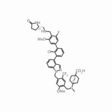 COc1cc(Cn2ncc3c(-c4cccc(-c5cc(F)c(CNC[C@@H]6CCC(=O)N6)c(OC)c5)c4Cl)cccc32)c(C(F)(F)F)cc1CN(C)C12CCC(C(=O)O)(CC1)CC2